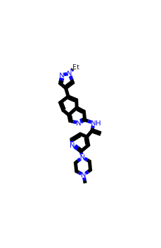 C=C(Nc1cc2cc(-c3cnn(CC)c3)ccc2cn1)c1ccnc(N2CCN(C)CC2)c1